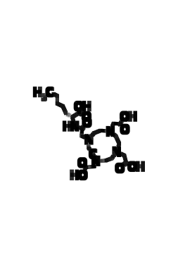 CCCCC[C@@H](NC(=O)CN1CCN(CC(=O)O)CCN(CC(=O)O)CCN(CC(=O)O)CC1)C(=O)O